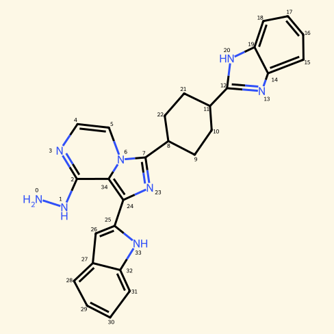 NNc1nccn2c(C3CCC(c4nc5ccccc5[nH]4)CC3)nc(-c3cc4ccccc4[nH]3)c12